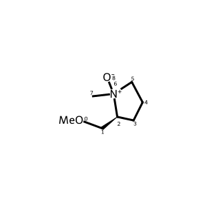 COC[C@@H]1CCC[N+]1(C)[O-]